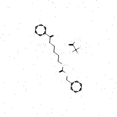 N[C@@H](CCCCNC(=O)OCc1ccccc1)C(=O)c1ccccc1.O=C(O)C(F)(F)F